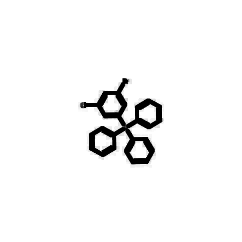 Clc1cc(Br)cc(S(c2ccccc2)(c2ccccc2)c2ccccc2)c1